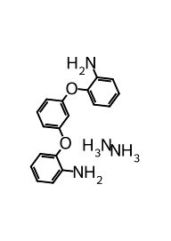 N.N.Nc1ccccc1Oc1cccc(Oc2ccccc2N)c1